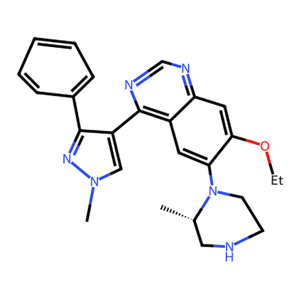 CCOc1cc2ncnc(-c3cn(C)nc3-c3ccccc3)c2cc1N1CCNC[C@@H]1C